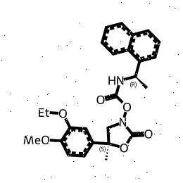 CCOc1cc([C@@]2(C)CN(OC(=O)N[C@H](C)c3cccc4ccccc34)C(=O)O2)ccc1OC